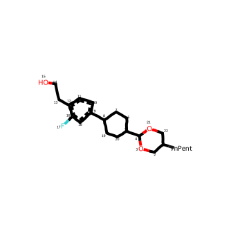 CCCCCC1COC(C2CCC(c3ccc(CCO)c(F)c3)CC2)OC1